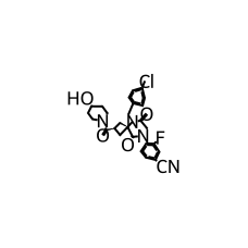 N#Cc1ccc(N2CC(=O)N(Cc3ccc(Cl)cc3)[C@]3(C[C@H](C(=O)N4CCC(O)CC4)C3)C2=O)c(F)c1